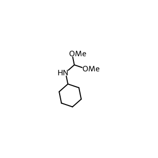 COC(NC1CCCCC1)OC